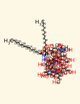 CCCCCCCCCCCCC/C=C/[C@@H](O)[C@H](CO[C@@H]1OC(CO)[C@@H](O[C@@H]2OC(CO)[C@H](O)[C@H](O[C@@H]3OC(CO)[C@@H](O[C@@H]4OC(CO)[C@H](O)[C@H](O[C@@H]5OC(CO)[C@@H](O[C@@H]6OC(CO)[C@H](O)[C@H](O[C@H]7OC(CO)[C@H](O)[C@H](O)C7NC(C)=O)C6O[C@H]6OC(C)[C@@H](O)C(O)[C@@H]6O)[C@H](O)C5NC(C)=O)C4O)[C@H](O)C3NC(C)=O)C2O)[C@H](O)C1O)NC(=O)CCCCCCCCCCCCCCC